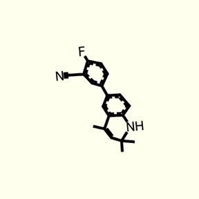 CC1=CC(C)(C)Nc2ccc(-c3ccc(F)c(C#N)c3)cc21